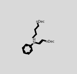 CCCCCCCCCCC=C[SiH](CCCCCCCCCCCCCC)c1ccccc1